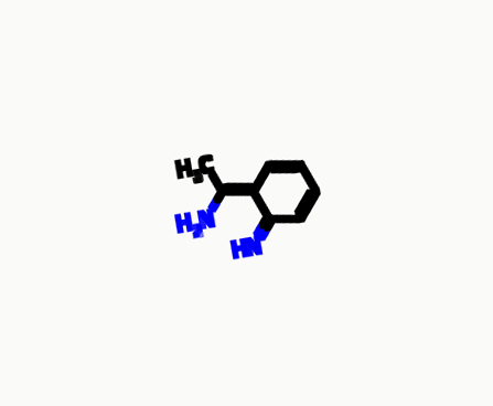 C/C(N)=C1\C=CC=CC1=N